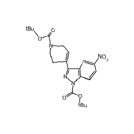 CC(C)(C)OC(=O)N1CC=C(c2nn(C(=O)OC(C)(C)C)c3ccc([N+](=O)[O-])cc23)CC1